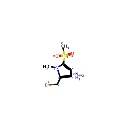 Br.Cn1c(CBr)ccc1S(C)(=O)=O.N